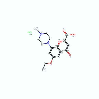 CCOc1cc(N2CCN(C)CC2)c2oc(C(=O)O)cc(=O)c2c1.Cl